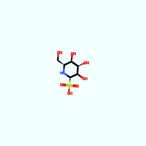 O=S(=O)(O)[C@@H]1N[C@H](CO)[C@@H](O)[C@H](O)[C@H]1O